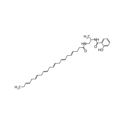 CCC=CCC=CCC=CCC=CCC=CCC=CCCC(=O)NCC(C)NC(=O)c1ccccc1O